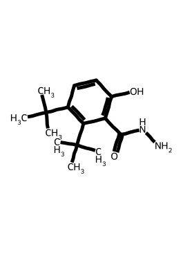 CC(C)(C)c1ccc(O)c(C(=O)NN)c1C(C)(C)C